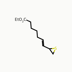 CCOC(=O)CCCC/C=C/C1CS1